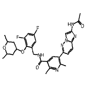 CC(=O)Nc1cn2nc(-c3cc(C(=O)NCc4cc(F)cc(F)c4OC4CC(C)OC(C)C4)c(C)nc3C)ccc2n1